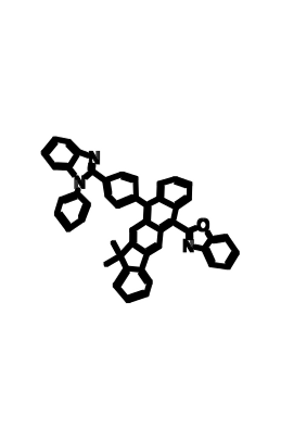 CC1(C)c2ccccc2-c2cc3c(-c4nc5ccccc5o4)c4ccccc4c(-c4ccc(-c5nc6ccccc6n5-c5ccccc5)cc4)c3cc21